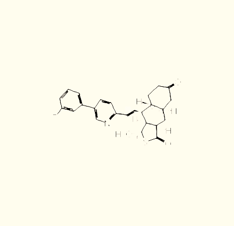 C[C@H]1SC(=O)[C@@H]2C[C@@H]3CC(=O)CC[C@H]3[C@H](/C=C/c3ccc(-c4cccc(F)c4)cn3)[C@H]12